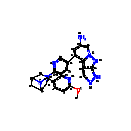 COc1ccc(CN2C3CC2CN(c2ccc(-c4cc(N)cn5nc6[nH]ncc6c45)cn2)C3)cn1